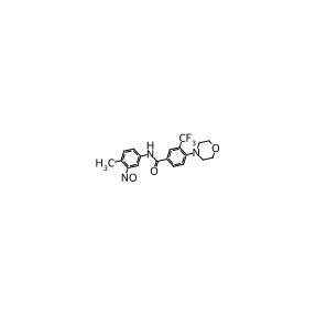 Cc1ccc(NC(=O)c2ccc(N3CCOCC3)c(C(F)(F)F)c2)cc1N=O